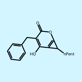 CCCCCC1c2oc(=O)c(Cc3ccccc3)c(O)c21